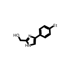 CCc1ccc(-c2c[nH]c(CO)n2)cc1